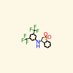 O=S1(=O)CC(Nc2cc(C(F)(F)F)cc(C(F)(F)F)c2)c2ccccc21